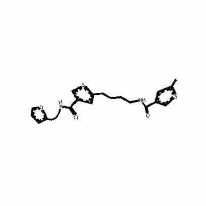 Cc1cc(C(=O)NCCCCc2cc(C(=O)NCc3ccco3)cs2)cs1